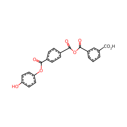 O=C(O)c1cccc(C(=O)OC(=O)c2ccc(C(=O)Oc3ccc(O)cc3)cc2)c1